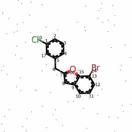 Clc1cccc(Cc2cc3cccc(Br)c3o2)c1